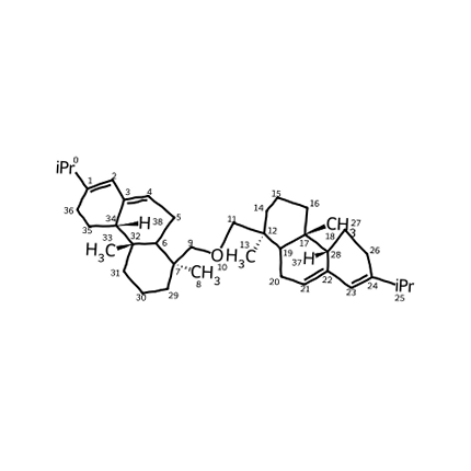 CC(C)C1=CC2=CCC3[C@@](C)(COC[C@@]4(C)CCC[C@@]5(C)C4CC=C4C=C(C(C)C)CC[C@H]45)CCC[C@]3(C)[C@@H]2CC1